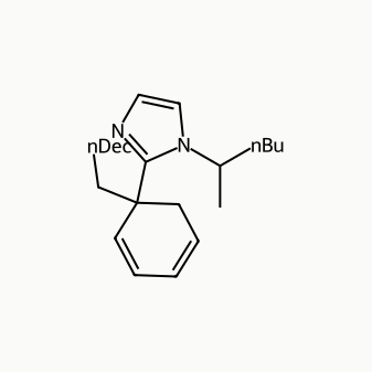 CCCCCCCCCCCC1(c2nccn2C(C)CCCC)C=CC=CC1